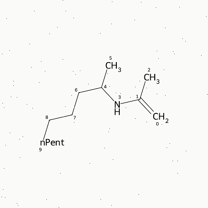 C=C(C)NC(C)CCCCCCCC